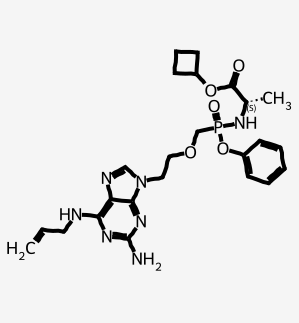 C=CCNc1nc(N)nc2c1ncn2CCOCP(=O)(N[C@@H](C)C(=O)OC1CCC1)Oc1ccccc1